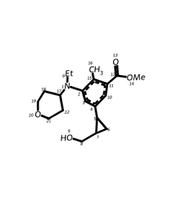 CCN(c1cc(C2CC2CO)cc(C(=O)OC)c1C)C1CCOCC1